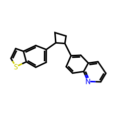 c1cnc2ccc(C3CCC3c3ccc4sccc4c3)cc2c1